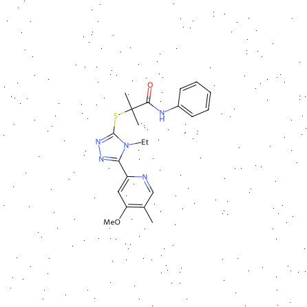 CCn1c(SC(C)(C)C(=O)Nc2ccccc2)nnc1-c1cc(OC)c(C)cn1